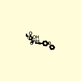 CCN1CC(C(=O)NCC#Cc2ccc(Oc3ccccc3)cc2)=C(O)C1=O